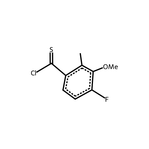 COc1c(F)ccc(C(=S)Cl)c1C